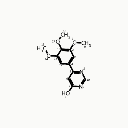 COc1cc(-c2cc(O)ncn2)cc(OC)c1OC